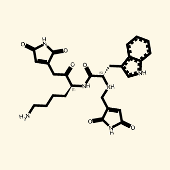 NCCCC[C@H](NC(=O)[C@H](Cc1c[nH]c2ccccc12)NCC1=CC(=O)NC1=O)C(=O)CC1=CC(=O)NC1=O